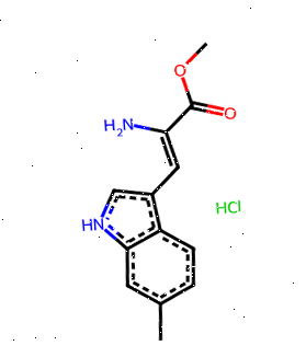 COC(=O)C(N)=Cc1c[nH]c2cc(C)ccc12.Cl